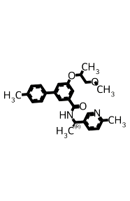 COCC(C)Oc1cc(C(=O)N[C@H](C)c2ccc(C)nc2)cc(-c2ccc(C)cc2)c1